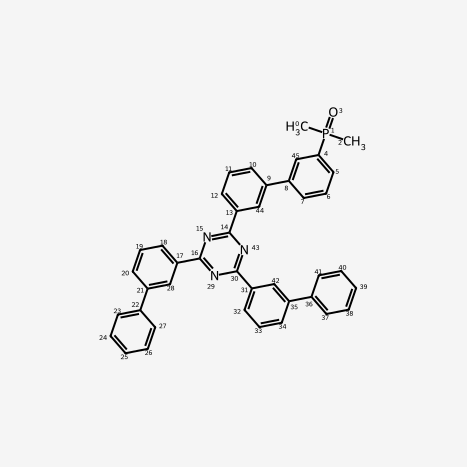 CP(C)(=O)c1cccc(-c2cccc(-c3nc(-c4cccc(-c5ccccc5)c4)nc(-c4cccc(-c5ccccc5)c4)n3)c2)c1